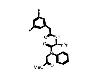 CCC[C@H](NC(=O)Cc1cc(F)cc(F)c1)C(=O)N(CC(=O)OC)c1ccccc1